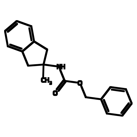 CC1(NC(=O)OCc2ccccc2)Cc2ccccc2C1